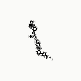 NCc1ccc(-c2cc(S(=O)(=O)N3CCC4(CC3)C[C@@H](NCC(O)COc3cccc(S(=O)(=O)C5(CO)CC5)c3)CO4)ccc2F)cc1